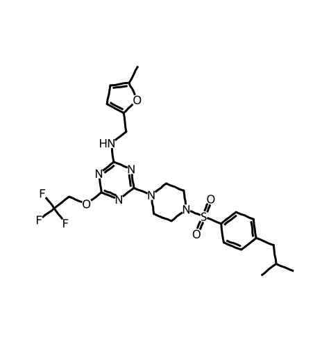 Cc1ccc(CNc2nc(OCC(F)(F)F)nc(N3CCN(S(=O)(=O)c4ccc(CC(C)C)cc4)CC3)n2)o1